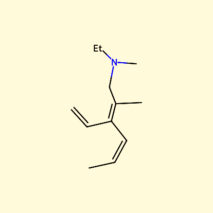 C=CC(/C=C\C)=C(/C)CN(C)CC